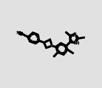 Cc1nc(C)c(-c2cc(N3CC(c4ccc(C#N)cc4)C3)c(C)cc2C)[nH]1